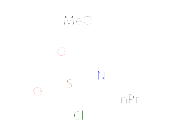 CCCN(COC)S(=O)(=O)Cl